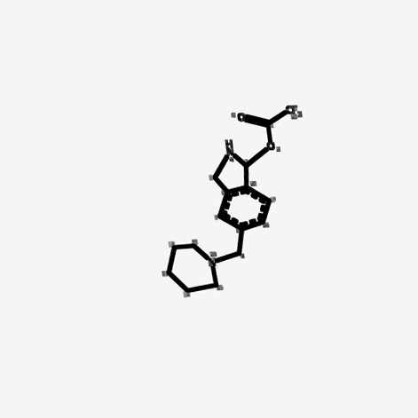 O=C(OC1NCc2cc(CN3CCCCC3)ccc21)C(F)(F)F